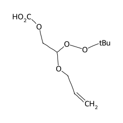 C=CCOC(COC(=O)O)OOC(C)(C)C